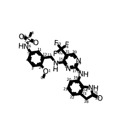 COc1ccc(NS(C)(=O)=O)cc1CNc1nc(Nc2cccc3c2NC(=O)C3)ncc1C(F)(F)F